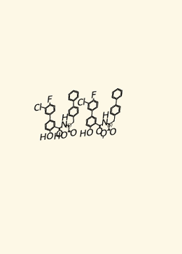 COC(=O)[C@H](Cc1ccc(-c2ccccc2)cc1)NC(=O)c1cc(-c2ccc(F)c(Cl)c2)ccc1O.O=C(N[C@@H](Cc1ccc(-c2ccccc2)cc1)C(=O)O)c1cc(-c2ccc(F)c(Cl)c2)ccc1O